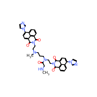 CNCC(=O)N(CCCN(C)CCN1C(=O)c2cccc3c(-n4ccnc4)ccc(c23)C1=O)CCN1C(=O)c2cccc3c(-n4ccnc4)ccc(c23)C1=O